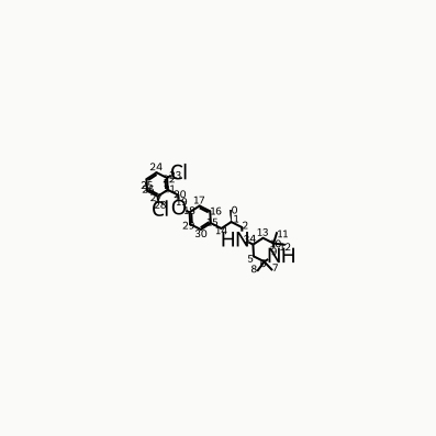 C[C@@H](CNC1CC(C)(C)NC(C)(C)C1)Cc1ccc(OCc2c(Cl)cccc2Cl)cc1